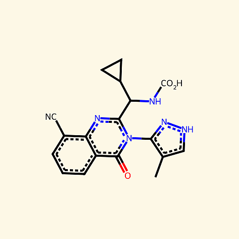 Cc1c[nH]nc1-n1c(C(NC(=O)O)C2CC2)nc2c(C#N)cccc2c1=O